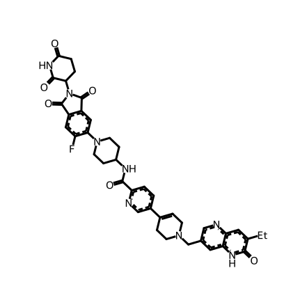 CCc1cc2ncc(CN3CC=C(c4ccc(C(=O)NC5CCN(c6cc7c(cc6F)C(=O)N(C6CCC(=O)NC6=O)C7=O)CC5)nc4)CC3)cc2[nH]c1=O